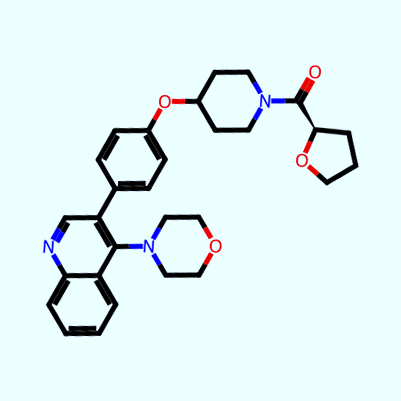 O=C([C@H]1CCCO1)N1CCC(Oc2ccc(-c3cnc4ccccc4c3N3CCOCC3)cc2)CC1